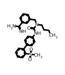 CCCCN(Cc1cccc(C(=N)N)c1)C(=O)Nc1ccc(-c2ccccc2S(C)(=O)=O)cc1